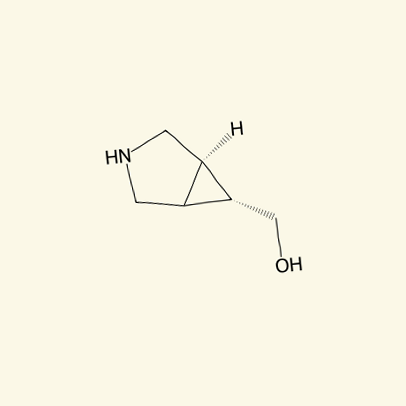 OC[C@@H]1C2CNC[C@H]21